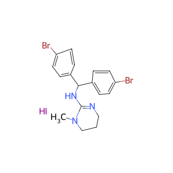 CN1CCCN=C1NC(c1ccc(Br)cc1)c1ccc(Br)cc1.I